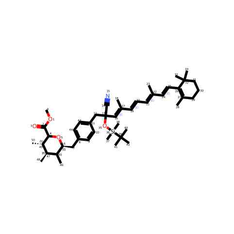 COC(=O)C1O[C@@H](Cc2ccc(CC(C#N)(/C=C(C)/C=C/C=C(C)/C=C/C3=C(C)CCCC3(C)C)O[Si](C)(C)C(C)(C)C)cc2)C(C)[C@@H](C)[C@@H]1C